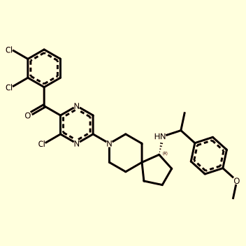 COc1ccc(C(C)N[C@@H]2CCCC23CCN(c2cnc(C(=O)c4cccc(Cl)c4Cl)c(Cl)n2)CC3)cc1